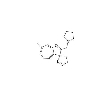 CC1=ICC=C(C2(C(=O)CN3CCCC3)CCC=I2)C=C1